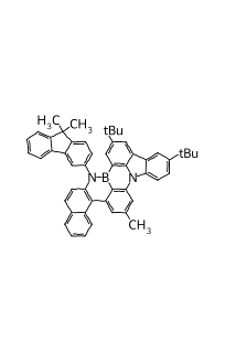 Cc1cc2c3c(c1)-n1c4ccc(C(C)(C)C)cc4c4cc(C(C)(C)C)cc(c41)B3N(c1ccc3c(c1)-c1ccccc1C3(C)C)c1ccc3ccccc3c1-2